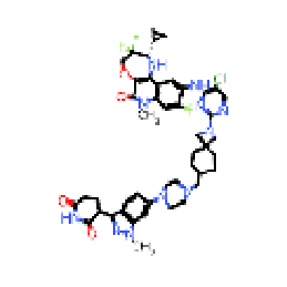 Cn1nc(C2CCC(=O)NC2=O)c2ccc(N3CCN(CC4CCC5(CC4)CN(c4ncc(Cl)c(Nc6cc7c8c(c(=O)n(C)c7cc6F)OCC(F)(F)[C@H](C6CC6)N8)n4)C5)CC3)cc21